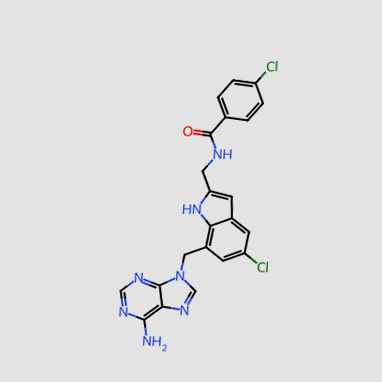 Nc1ncnc2c1ncn2Cc1cc(Cl)cc2cc(CNC(=O)c3ccc(Cl)cc3)[nH]c12